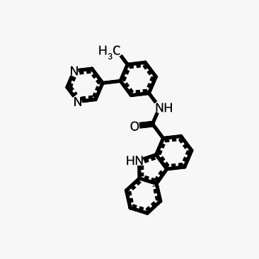 Cc1ccc(NC(=O)c2cccc3c2[nH]c2ccccc23)cc1-c1cncnc1